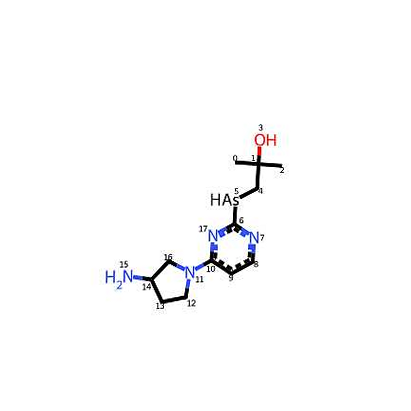 CC(C)(O)C[AsH]c1nccc(N2CCC(N)C2)n1